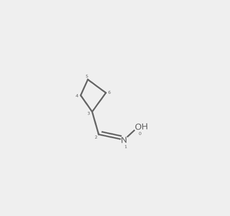 O/N=C\C1CCC1